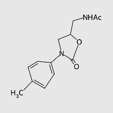 CC(=O)NCC1CN(c2ccc(C)cc2)C(=O)O1